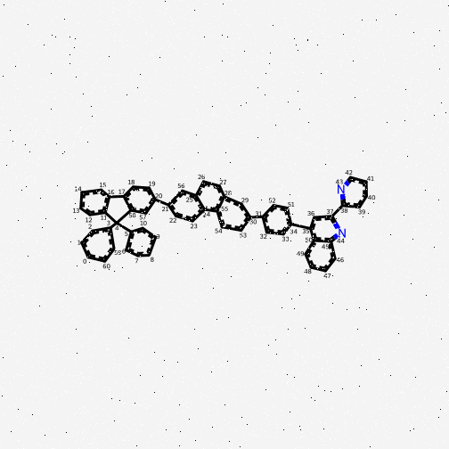 c1ccc(C2(c3ccccc3)c3ccccc3-c3ccc(-c4ccc5c(ccc6cc(-c7ccc(-c8cc(-c9ccccn9)nc9ccccc89)cc7)ccc65)c4)cc32)cc1